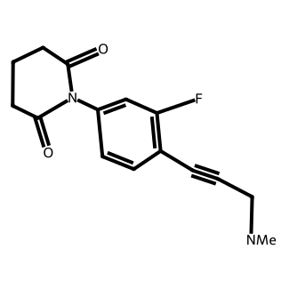 CNCC#Cc1ccc(N2C(=O)CCCC2=O)cc1F